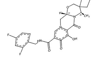 C[C@H]1N2C(=O)c3c(O)c(=O)c(C(=O)NCc4ccc(F)cc4F)cn3C[C@@H]2OCC12CCC2